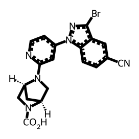 N#Cc1ccc2c(c1)c(Br)nn2-c1ccnc(N2C[C@@H]3C[C@H]2CN3C(=O)O)c1